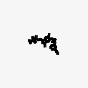 CC(C)(Cc1cncc(C#N)c1)Cc1cc2[nH]cc(CCNS(=O)(=O)C3CC3)c2cc1F